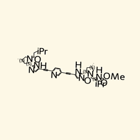 COC(=O)N[C@H](C(=O)N1C[C@@H](C)C[C@H]1c1ncc(C#Cc2ccc(C#Cc3cnc([C@@H]4C[C@H](C)CN4C(=O)CC(C)C)[nH]3)nc2)[nH]1)C(C)C